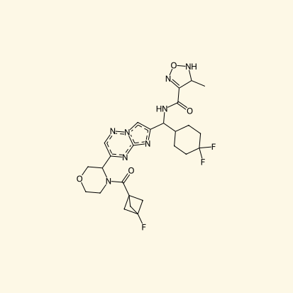 CC1NON=C1C(=O)NC(c1cn2ncc(C3COCCN3C(=O)C34CC(F)(C3)C4)nc2n1)C1CCC(F)(F)CC1